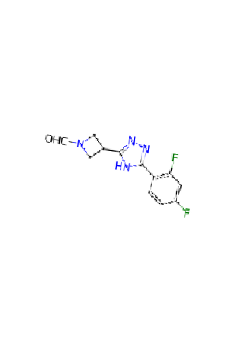 O=CN1CC(c2nnc(-c3ccc(F)cc3F)[nH]2)C1